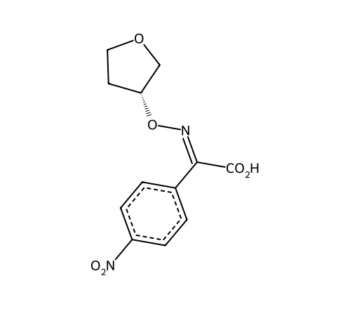 O=C(O)/C(=N/O[C@@H]1CCOC1)c1ccc([N+](=O)[O-])cc1